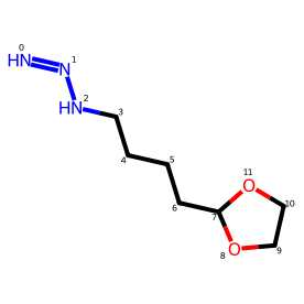 N=NNCCCCC1OCCO1